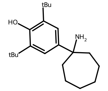 CC(C)(C)c1cc(C2(N)CCCCCC2)cc(C(C)(C)C)c1O